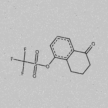 O=C1CCCc2c(OS(=O)(=O)C(F)(F)F)cccc21